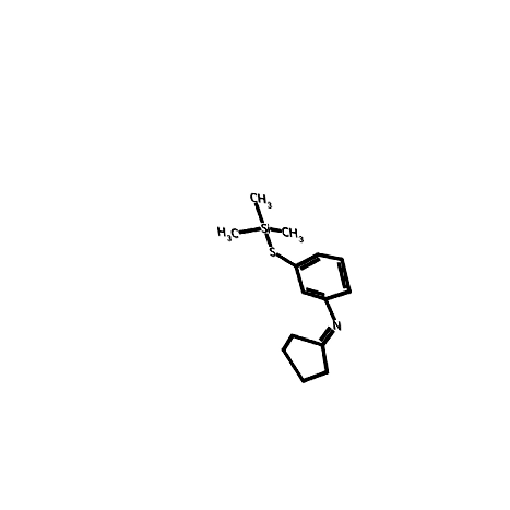 C[Si](C)(C)Sc1cccc(N=C2CCCC2)c1